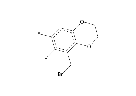 Fc1cc2c(c(CBr)c1F)OCCO2